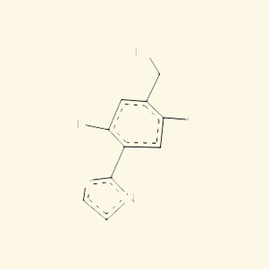 Fc1cc(-c2ncco2)c(F)cc1CBr